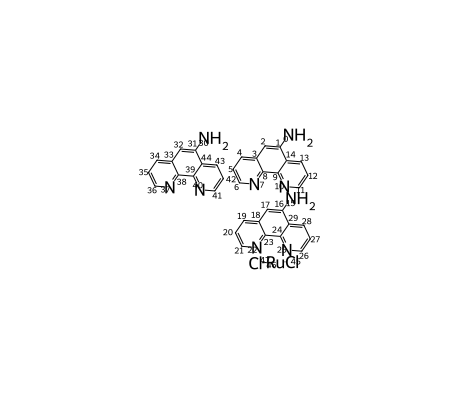 Nc1cc2cccnc2c2ncccc12.Nc1cc2cccnc2c2ncccc12.Nc1cc2cccnc2c2ncccc12.[Cl][Ru][Cl]